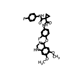 COc1cc2c(cc1OC)C(Oc1ccc(NC(=O)C3(C(=O)Nc4ccc(F)cc4)CC3)cc1F)=NCN2